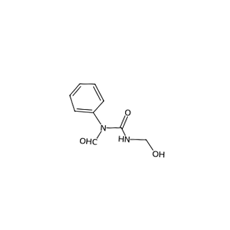 O=CN(C(=O)NCO)c1ccccc1